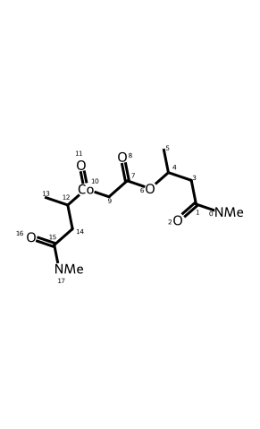 CNC(=O)CC(C)OC(=O)[CH2][Co](=[O])[CH](C)CC(=O)NC